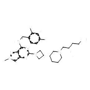 C[C@@H](Nc1nc(N2CC([C@H]3CCCN(C[C@@H](O)CCO)C3)C2)nc2cn(C)nc12)c1ccc(Cl)cc1Cl